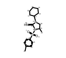 Cc1ccc(S(=O)(=O)N2C(=N)N(C3CCCCC3)CC2C)cc1